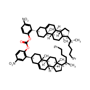 CC(C)CCC[C@@H](C)[C@H]1CC[C@H]2[C@@H]3CC=C4C[C@@H](c5cc([N+](=O)[O-])ccc5OC(=O)Oc5ccc([N+](=O)[O-])cc5[C@H]5CC[C@@]6(C)C(=CC[C@H]7[C@@H]8CC[C@H]([C@H](C)CCCC(C)C)[C@@]8(C)CC[C@@H]76)C5)CC[C@]4(C)[C@H]3CC[C@]12C